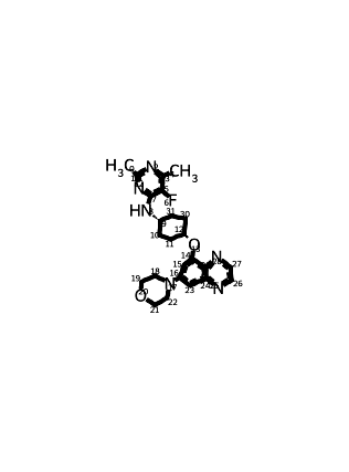 Cc1nc(C)c(F)c(N[C@H]2CC[C@@H](Oc3cc(N4CCOCC4)cc4nccnc34)CC2)n1